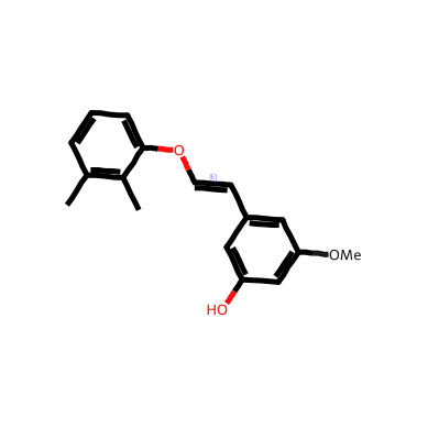 COc1cc(O)cc(/C=C/Oc2cccc(C)c2C)c1